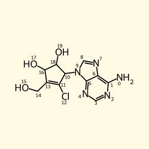 Nc1ncnc2c1ncn2C1C(Cl)=C(CO)C(O)C1O